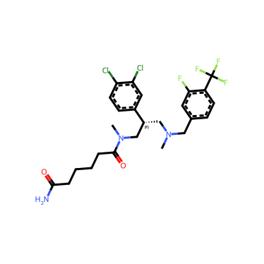 CN(Cc1ccc(C(F)(F)F)c(F)c1)C[C@H](CN(C)C(=O)CCCCC(N)=O)c1ccc(Cl)c(Cl)c1